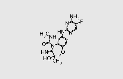 CNC(=O)N1C(=N)C(C)(O)COc2ccc(Nc3ncc(F)c(N)n3)cc21